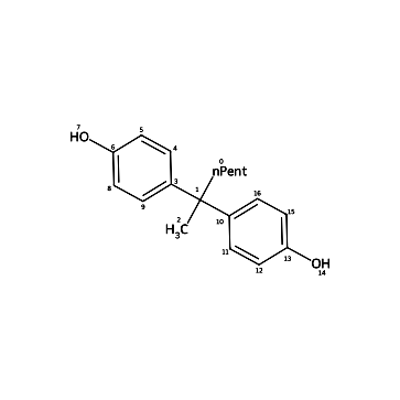 CCCCCC(C)(c1ccc(O)cc1)c1ccc(O)cc1